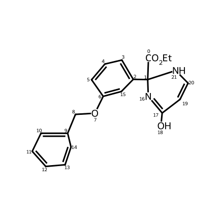 CCOC(=O)C1(c2cccc(OCc3ccccc3)c2)N=C(O)C=CN1